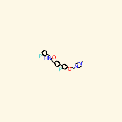 CN1CCN(CCOc2ccc(-c3ccc(CC(=O)NCc4cccc(F)c4)cc3)c(F)c2)CC1